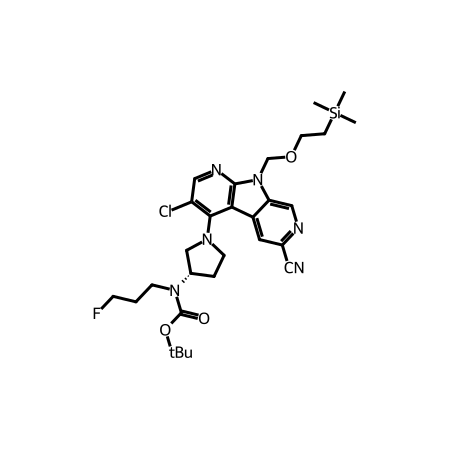 CC(C)(C)OC(=O)N(CCCF)[C@H]1CCN(c2c(Cl)cnc3c2c2cc(C#N)ncc2n3COCC[Si](C)(C)C)C1